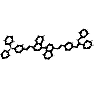 C(=C\c1ccc(-c2ccc(/C=C/c3ccc(N(c4ccccc4)c4ccccc4)cc3)c3ccccc23)c2ccccc12)/c1ccc(/C=C(\Cc2ccccc2)c2ccccc2)cc1